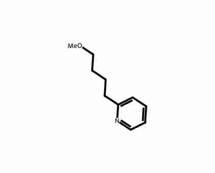 COCCCCc1ccccn1